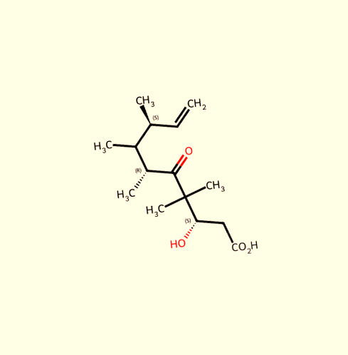 C=C[C@H](C)C(C)[C@@H](C)C(=O)C(C)(C)[C@@H](O)CC(=O)O